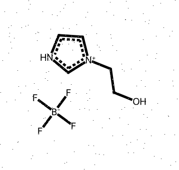 F[B-](F)(F)F.OCC[n+]1cc[nH]c1